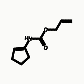 C=CCOC(=O)NC1=CCCC1